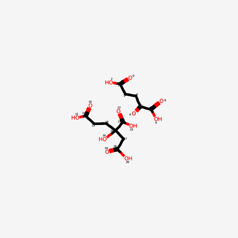 O=C(O)CCC(=O)C(=O)O.O=C(O)CCC(O)(CC(=O)O)C(=O)O